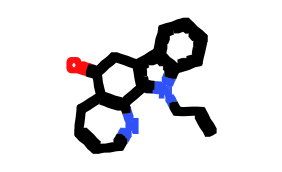 C=CCn1c2c(c3ccccc31)CC(=O)C1=C2N=CC=CC1